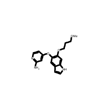 COCCCOc1cc2[nH]ccc2cc1Oc1ccnc(N)c1